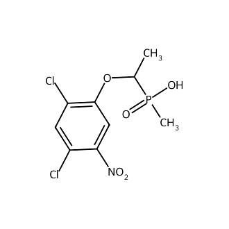 CC(Oc1cc([N+](=O)[O-])c(Cl)cc1Cl)P(C)(=O)O